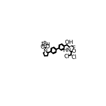 CC(C)(C)OC(=O)N1CCCC1c1ccc(-c2ccc([C@@H](O)[C@@H](CF)NC(=O)C(Cl)Cl)cc2)cc1